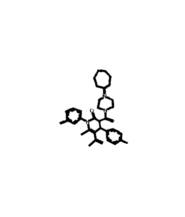 C=C(C)C1=C(C)N(c2cccc(C)c2)C(=O)C(C(=C)N2CCN(C3CCCCCC3)CC2)C1c1ccc(C)cc1